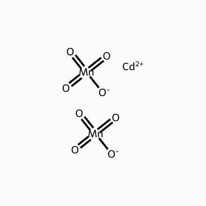 [Cd+2].[O]=[Mn](=[O])(=[O])[O-].[O]=[Mn](=[O])(=[O])[O-]